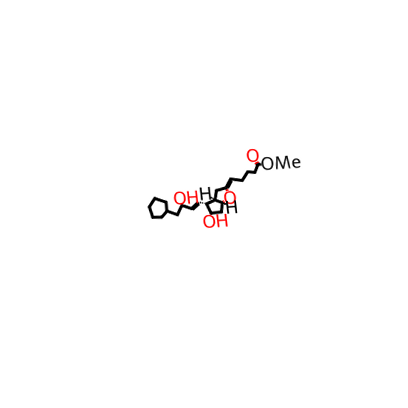 COC(=O)CCC/C=C1/C[C@@H]2[C@@H](/C=C/[C@@H](O)CC3CCCCC3)[C@H](O)C[C@H]2O1